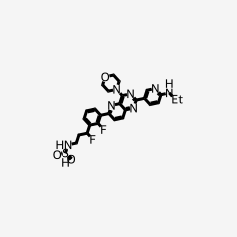 CCNc1ccc(-c2nc(N3CCOCC3)c3nc(-c4cccc(C(F)CCN[SH](=O)=O)c4F)ccc3n2)cn1